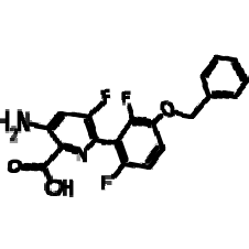 Nc1cc(F)c(-c2c(F)ccc(OCc3ccccc3)c2F)nc1C(=O)O